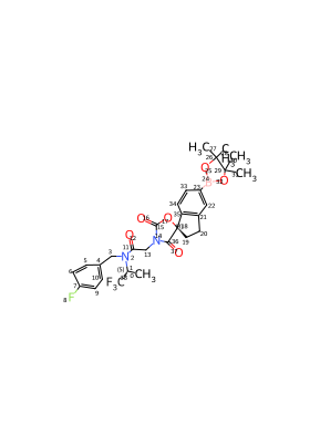 C[C@H](N(Cc1ccc(F)cc1)C(=O)CN1C(=O)O[C@@]2(CCc3cc(B4OC(C)(C)C(C)(C)O4)ccc32)C1=O)C(F)(F)F